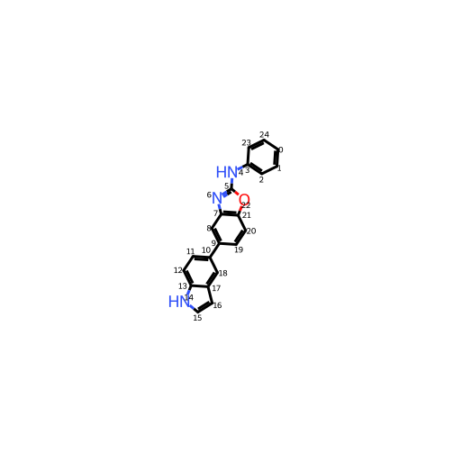 c1ccc(Nc2nc3cc(-c4ccc5[nH]ccc5c4)ccc3o2)cc1